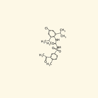 CC(=O)c1cc(S(=O)(=O)NC(=O)Nc2c(C(C)C)cc(Cl)cc2C(C)C)ccc1C